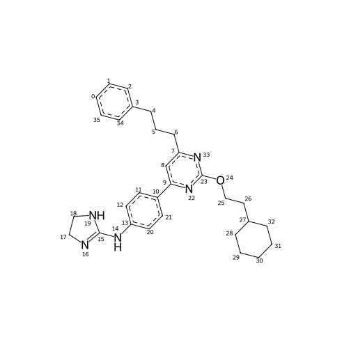 c1ccc(CCCc2cc(-c3ccc(NC4=NCCN4)cc3)nc(OCCC3CCCCC3)n2)cc1